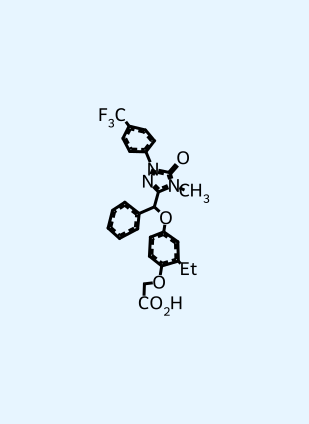 CCc1cc(OC(c2ccccc2)c2nn(-c3ccc(C(F)(F)F)cc3)c(=O)n2C)ccc1OCC(=O)O